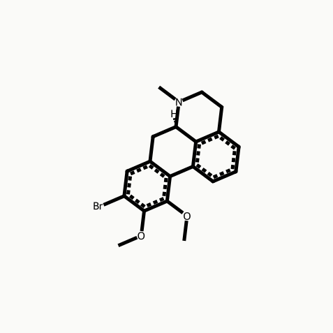 COc1c(Br)cc2c(c1OC)-c1cccc3c1[C@@H](C2)N(C)CC3